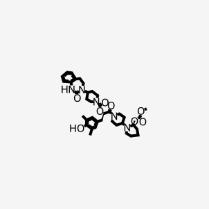 COC(=O)O[C@H]1CCCCN1C1CCN(C(=O)[C@@H](Cc2cc(C)c(O)c(C)c2)OC(=O)N2CCC(N3CCc4ccccc4NC3=O)CC2)CC1